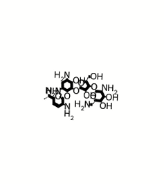 C[C@H](N)[C@@H]1C=C[C@@H](N)[C@@H](O[C@H]2[C@H](O[C@@H]3O[C@H](CO)[C@@H](O[C@H]4O[C@@H](CN)[C@@H](O)[C@H](O)[C@H]4N)[C@H]3O)[C@@H](O)[C@H](N)C[C@@H]2N)O1